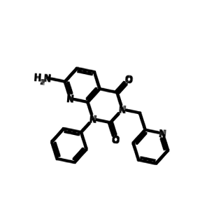 Nc1ccc2c(=O)n(Cc3ccccn3)c(=O)n(-c3ccccc3)c2n1